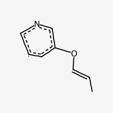 CC=COc1c[c]cnc1